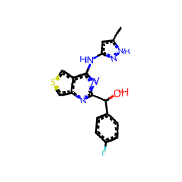 Cc1cc(Nc2nc(C(O)c3ccc(F)cc3)nc3cscc23)n[nH]1